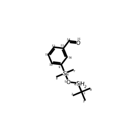 CC(C)(C)[SiH2]O[Si](C)(C)c1cccc(C=O)c1